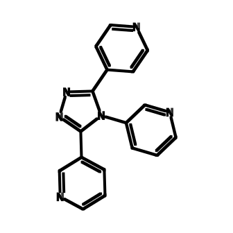 c1cncc(-c2nnc(-c3ccncc3)n2-c2cccnc2)c1